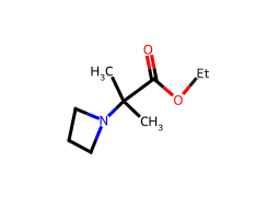 CCOC(=O)C(C)(C)N1CCC1